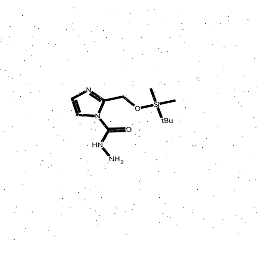 CC(C)(C)[Si](C)(C)OCc1nccn1C(=O)NN